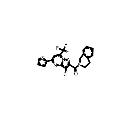 O=C(c1nn2c(C(F)(F)F)cc(-c3cccs3)nc2c1Cl)N1CCc2ccccc2C1